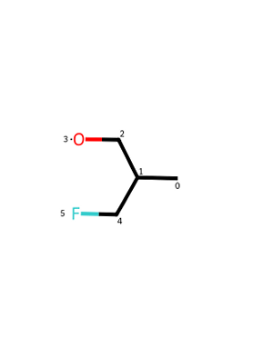 CC(C[O])CF